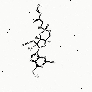 CCOC(=O)CNP1(=O)OC[C@H]2O[C@@H](n3cnc4c(OC)nc(N)nc43)[C@](C)(N=[N+]=[N-])[C@@H]2O1